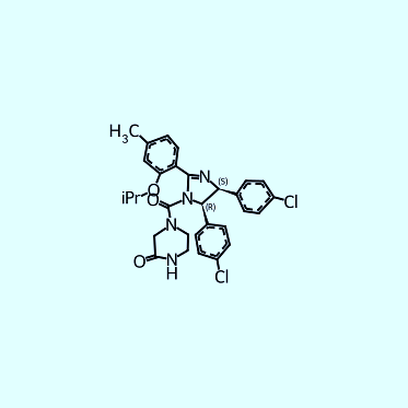 Cc1ccc(C2=N[C@@H](c3ccc(Cl)cc3)[C@@H](c3ccc(Cl)cc3)N2C(=O)N2CCNC(=O)C2)c(OC(C)C)c1